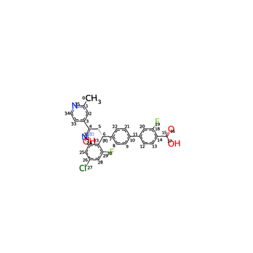 Cc1cc(/C(C[C@H](c2ccc(-c3ccc(C(=O)O)c(F)c3)cc2)c2ccc(Cl)cc2F)=N/O)ccn1